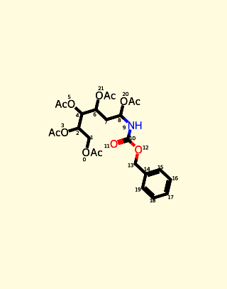 CC(=O)OCC(OC(C)=O)C(OC(C)=O)C(CC(NC(=O)OCc1ccccc1)OC(C)=O)OC(C)=O